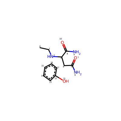 CCNC(CC(N)=O)C(N)=O.Oc1ccccc1